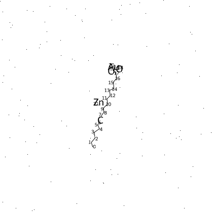 CCCCCCCCCCCCCCCCCC(=O)[O][Au].[Zn]